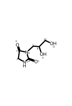 O=C1CNC(=O)N1CC(O)CO